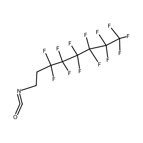 O=C=NCCC(F)(F)C(F)(F)C(F)(F)C(F)(F)C(F)(F)C(F)(F)F